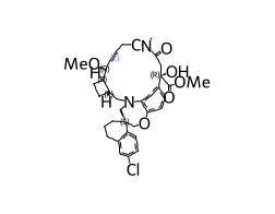 COC(=O)[C@@]1(O)CC(=O)N(C)CC/C=C/[C@H](OC)[C@@H]2CC[C@H]2CN2C[C@@]3(CCCc4cc(Cl)ccc43)COc3ccc1cc32